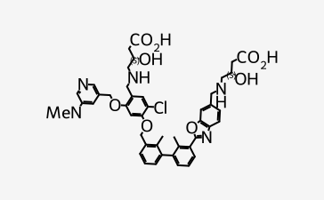 CNc1cncc(COc2cc(OCc3cccc(-c4cccc(-c5nc6ccc(CNC[C@@H](O)CC(=O)O)cc6o5)c4C)c3C)c(Cl)cc2CNC[C@@H](O)CC(=O)O)c1